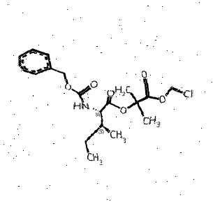 CC[C@H](C)[C@H](NC(=O)OCc1ccccc1)C(=O)OC(C)(C)C(=O)OCCl